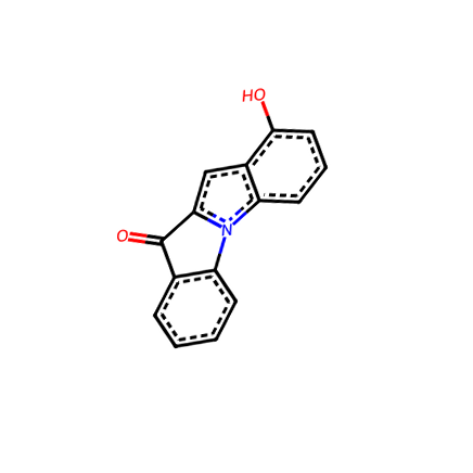 O=C1c2ccccc2-n2c1cc1c(O)cccc12